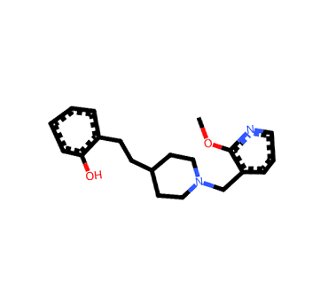 COc1ncccc1CN1CCC(CCc2ccccc2O)CC1